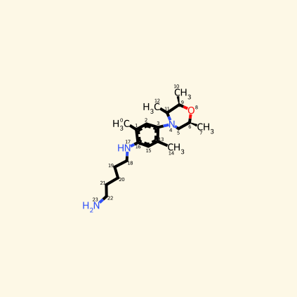 Cc1cc(N2C[C@H](C)O[C@H](C)C2C)c(C)cc1NCCCCCN